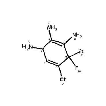 CCC1=CC(N)C(N)=C(N)C1(F)CC